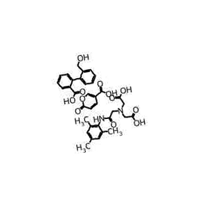 Cc1cc(C)c(NC(=O)CN(CC(=O)O)CC(=O)O)c(C)c1.O=C(O)c1ccc(=O)oc1.O=C(O)c1ccccc1-c1ccccc1CO